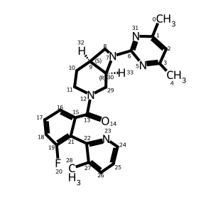 Cc1cc(C)nc(N2C[C@@H]3CCN(C(=O)c4cccc(F)c4-c4ncccc4C)C[C@@H]32)n1